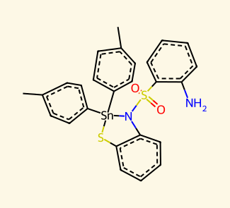 Cc1cc[c]([Sn]2([c]3ccc(C)cc3)[S]c3ccccc3[N]2S(=O)(=O)c2ccccc2N)cc1